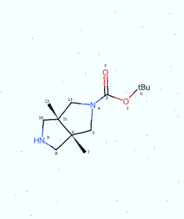 CC(C)(C)OC(=O)N1C[C@]2(C)CNC[C@]2(C)C1